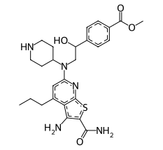 CCCc1cc(N(CC(O)c2ccc(C(=O)OC)cc2)C2CCNCC2)nc2sc(C(N)=O)c(N)c12